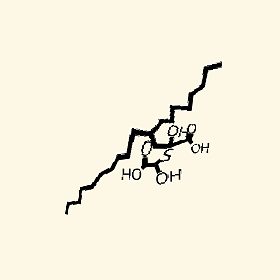 CCCCCCCCCCC(CCCCCCCC)CC(O)(SC(O)C(=O)O)C(=O)O